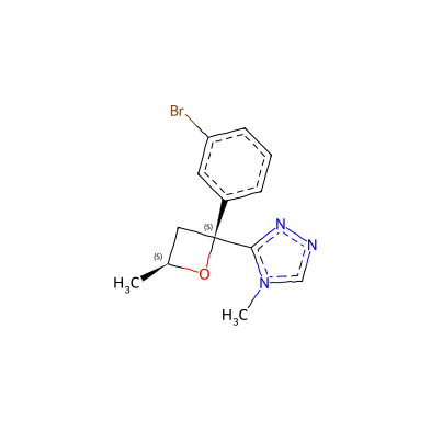 C[C@H]1C[C@](c2cccc(Br)c2)(c2nncn2C)O1